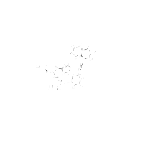 COc1cc(OC)c2c(-c3ccccc3C#Cc3cccc4ccccc34)coc2c1